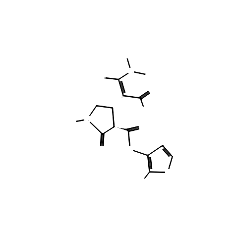 C=C(Br)/C(=C(/Cl)N(C)C)[C@H]1CN(C)C(=O)[C@@H]1C(=O)Nc1ccsc1F